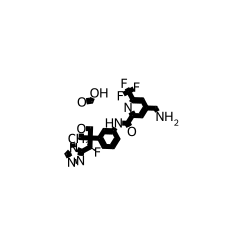 Cn1cnnc1[C@@H](F)C1(c2cccc(NC(=O)c3cc(CN)cc(C(F)(F)F)n3)c2)COC1.O=CO